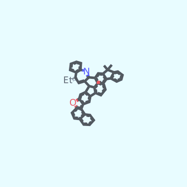 CC[C@H]1C=C(C2c3ccccc3-c3cc4c(cc32)oc2ccc3ccccc3c24)C(c2ccc3c(c2)C(C)(C)c2ccccc2-3)=Nc2ccccc21